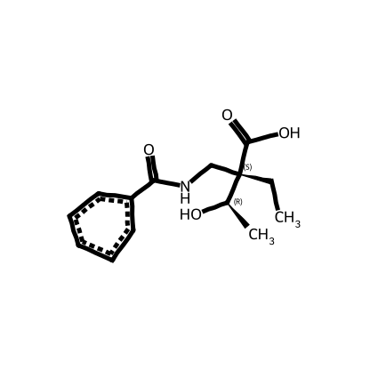 CC[C@@](CNC(=O)c1ccccc1)(C(=O)O)[C@@H](C)O